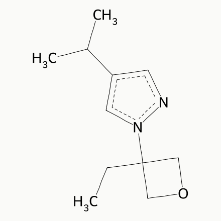 CCC1(n2cc(C(C)C)cn2)COC1